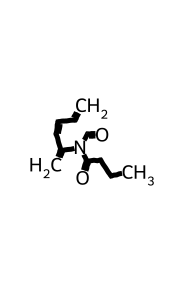 C=C/C=C\C(=C)N(C=O)C(=O)CCC